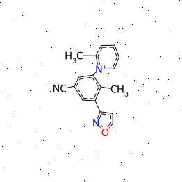 Cc1c(-c2ccon2)cc(C#N)cc1-[n+]1ccccc1C